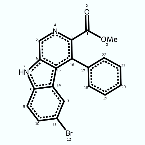 COC(=O)c1ncc2[nH]c3ccc(Br)cc3c2c1-c1ccccc1